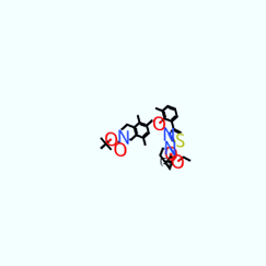 CCOC(=O)[C@@]12CCN(c3nc(-c4cccc(C)c4OCc4cc(C)c5c(c4C)CCN(C(=O)OC(C)(C)C)C5)cs3)CC1C2